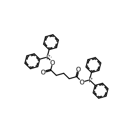 O=C(CCCC(=O)O[I+](c1ccccc1)c1ccccc1)O[I+](c1ccccc1)c1ccccc1